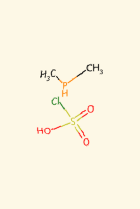 CPC.O=S(=O)(O)Cl